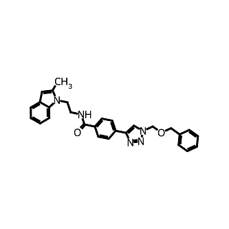 Cc1cc2ccccc2n1CCNC(=O)c1ccc(-c2cn(COCc3ccccc3)nn2)cc1